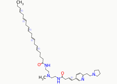 CC/C=C/C/C=C/C/C=C/C/C=C/C/C=C/CCCC(=O)NCCN(C)CCNC(=O)C/C=C/c1ccc(CCN2CCCC2)nc1